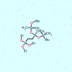 CCO[Si](CC[Si](C)(O[Si](C)(C)OC(C)(C)C)O[Si](C)(C)C(C)(C)C)(OCC)OCC